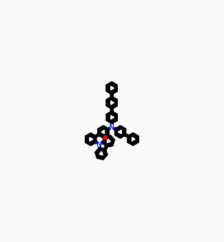 c1ccc(-c2ccc(-c3ccc(N(c4ccc(-c5ccccc5)cc4)c4ccc(-c5ccccc5-n5c6ccccc6c6ccccc65)cc4)cc3)cc2)cc1